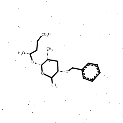 CC1O[C@H](O[C@H](C)CCC(=O)O)[C@H](C)C[C@@H]1OCc1ccccc1